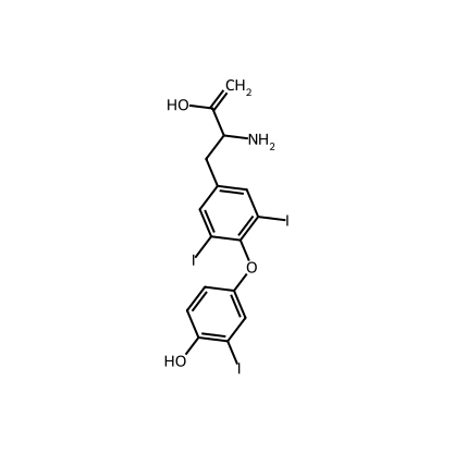 C=C(O)C(N)Cc1cc(I)c(Oc2ccc(O)c(I)c2)c(I)c1